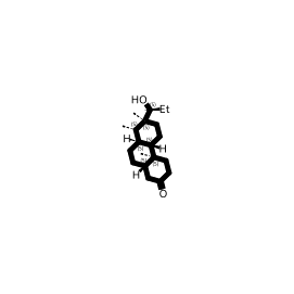 CC[C@H](O)[C@@]1(C)CC[C@H]2[C@@H](CC[C@H]3CC(=O)CC[C@@]32C)[C@@H]1C